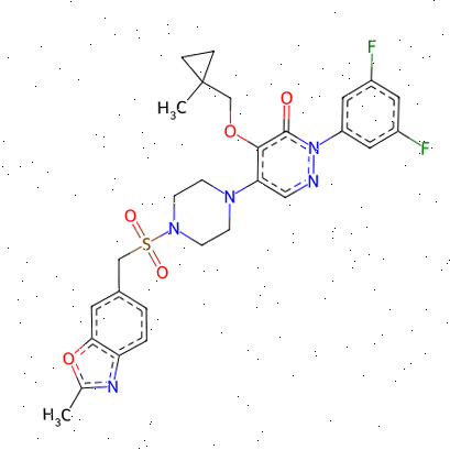 Cc1nc2ccc(CS(=O)(=O)N3CCN(c4cnn(-c5cc(F)cc(F)c5)c(=O)c4OCC4(C)CC4)CC3)cc2o1